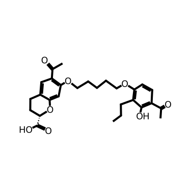 CCCc1c(OCCCCCOc2cc3c(cc2C(C)=O)CC[C@@H](C(=O)O)O3)ccc(C(C)=O)c1O